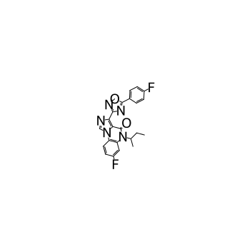 CCC(C)n1c(=O)c2c(-c3noc(-c4ccc(F)cc4)n3)ncn2c2ccc(F)cc21